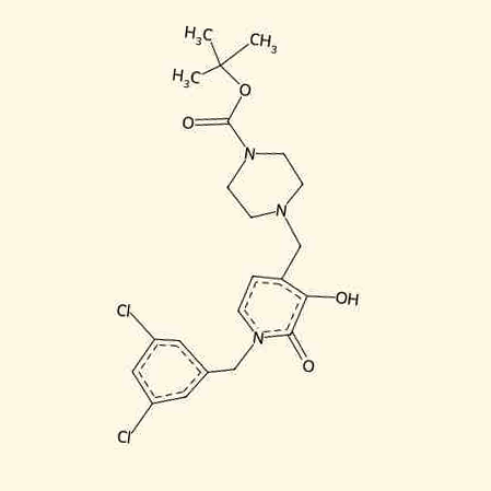 CC(C)(C)OC(=O)N1CCN(Cc2ccn(Cc3cc(Cl)cc(Cl)c3)c(=O)c2O)CC1